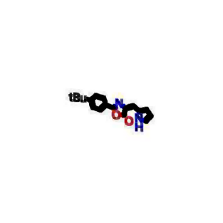 CC(C)(C)c1ccc(C2=N/C(=C/c3ccc[nH]3)C(=O)O2)cc1